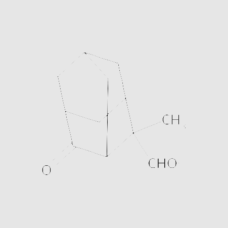 CC1([C]=O)C2CC3CC(C2)C(=O)C1C3